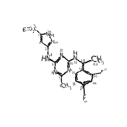 CCOC(=O)c1cc(Nc2nc(C)nc(NC(C)c3ccc(F)cc3F)n2)n[nH]1